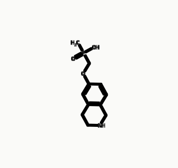 CP(=O)(O)COc1ccc2c(c1)CCNC2